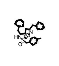 Cc1ccc(CS(=O)(=O)NC(Cc2ccccc2)C2CC(Cc3ccccc3)=NO2)cc1